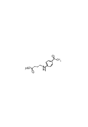 CC(=O)c1ccc(NCCCC(=O)O)cc1